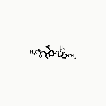 COC(=O)Cc1csc2cc(OCc3ccc(C)nc3C)cc(C3CC3)c12